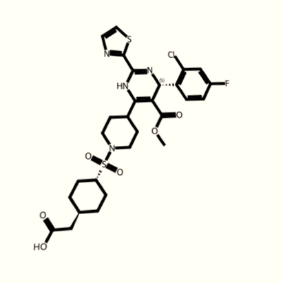 COC(=O)C1=C(C2CCN(S(=O)(=O)[C@H]3CC[C@H](CC(=O)O)CC3)CC2)NC(c2nccs2)=N[C@@H]1c1ccc(F)cc1Cl